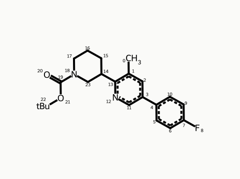 Cc1cc(-c2ccc(F)cc2)cnc1C1CCCN(C(=O)OC(C)(C)C)C1